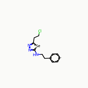 ClCCc1nnc(NCCc2c[c][c]cc2)[se]1